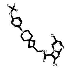 Cc1nc2ncc(Cl)cn2c1C(=O)NCC1CC2(CCN(c3ccc(OC(F)(F)F)cc3)CC2)C1